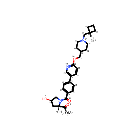 COC(=O)[C@]1(C)C[C@@H](O)CN1C(=O)c1ccc(-c2ccc(OCC3CCN(CC4(C(F)(F)F)CCC4)CC3)nc2)cc1